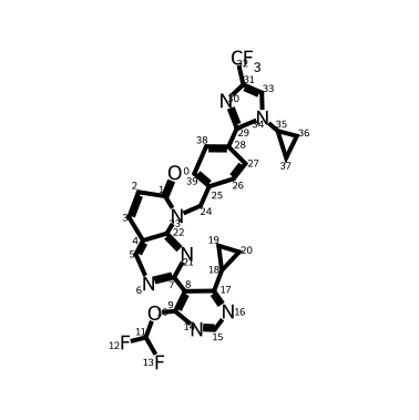 O=c1ccc2cnc(-c3c(OC(F)F)ncnc3C3CC3)nc2n1Cc1ccc(-c2nc(C(F)(F)F)cn2C2CC2)cc1